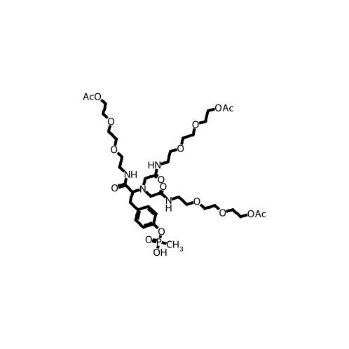 CC(=O)OCCOCCOCCNC(=O)CN(CC(=O)NCCOCCOCCOC(C)=O)C(Cc1ccc(OP(C)(=O)O)cc1)C(=O)NCCOCCOCCOC(C)=O